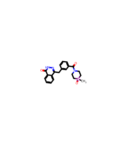 CP1(=O)CCN(C(=O)c2cccc(Cc3n[nH]c(=O)c4ccccc34)c2)CC1